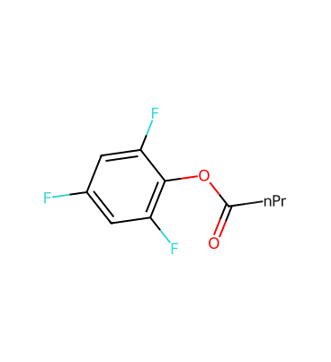 CCCC(=O)Oc1c(F)cc(F)cc1F